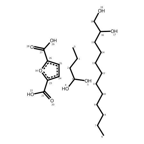 CCCC(O)O.CCCCCCCCCCC(O)CO.O=C(O)c1ccc(C(=O)O)o1